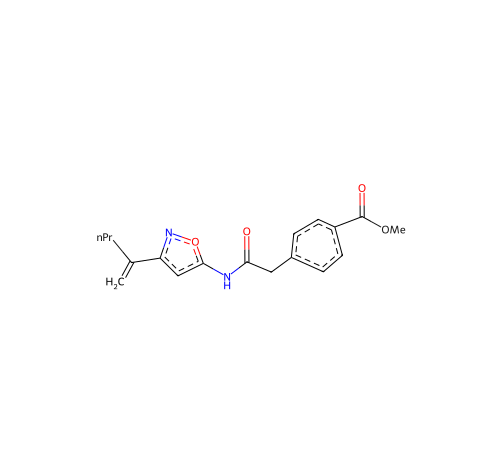 C=C(CCC)c1cc(NC(=O)Cc2ccc(C(=O)OC)cc2)on1